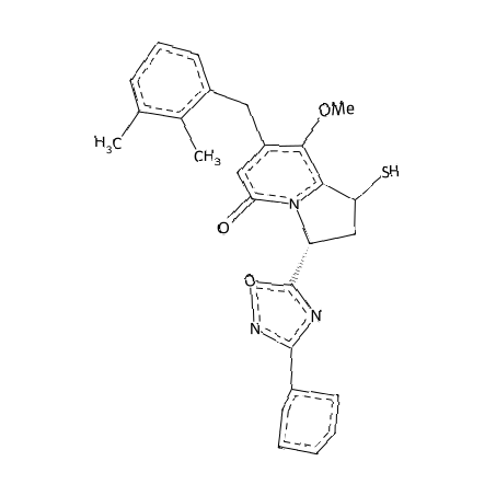 COc1c(Cc2cccc(C)c2C)cc(=O)n2c1C(S)C[C@@H]2c1nc(-c2ccccc2)no1